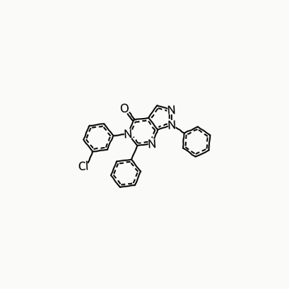 O=c1c2cnn(-c3ccccc3)c2nc(-c2ccccc2)n1-c1cccc(Cl)c1